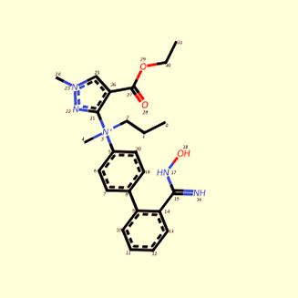 CCC[N+](C)(c1ccc(-c2ccccc2C(=N)NO)cc1)c1nn(C)cc1C(=O)OCC